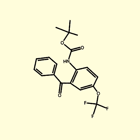 CC(C)(C)OC(=O)Nc1ccc(OC(F)(F)F)cc1C(=O)c1ccccc1